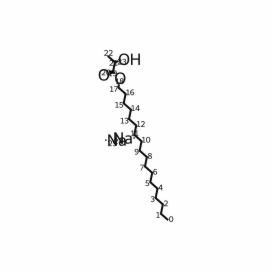 CCCCCCCCCCCCCCCCCCOC(=O)C(C)O.[Na].[Na]